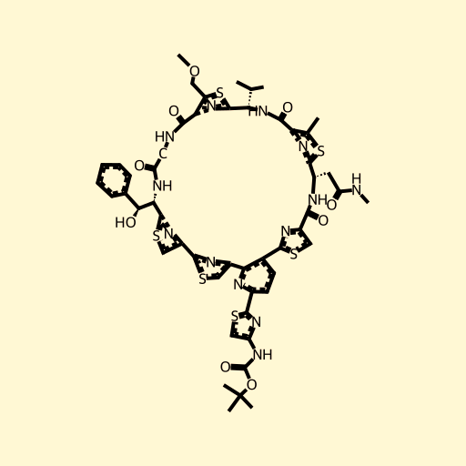 CNC(=O)C[C@@H]1NC(=O)c2csc(n2)-c2ccc(-c3nc(NC(=O)OC(C)(C)C)cs3)nc2-c2csc(n2)-c2csc(n2)[C@H]([C@@H](O)c2ccccc2)NC(=O)CNC(=O)c2nc(sc2COC)[C@H](C(C)C)NC(=O)c2nc1sc2C